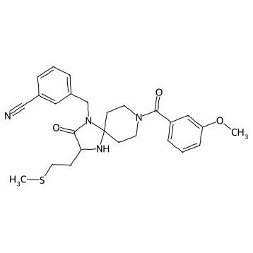 COc1cccc(C(=O)N2CCC3(CC2)NC(CCSC)C(=O)N3Cc2cccc(C#N)c2)c1